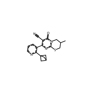 CC1CSc2nc(-c3cccnc3C34CC(C3)C4)c(C#N)c(=O)n2C1